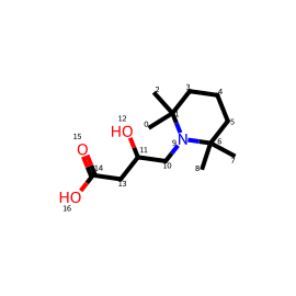 CC1(C)CCCC(C)(C)N1CC(O)CC(=O)O